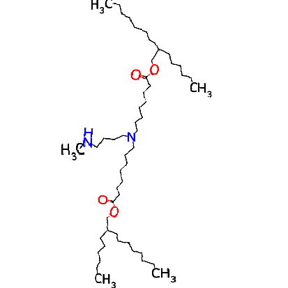 CCCCCCCCC(CCCCCC)COC(=O)CCCCCCCN(CCCCCCCC(=O)OCC(CCCCCC)CCCCCCCC)CCCCNC